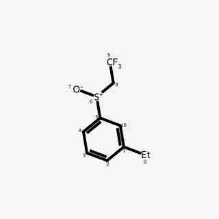 CCc1cccc([S+]([O-])CC(F)(F)F)c1